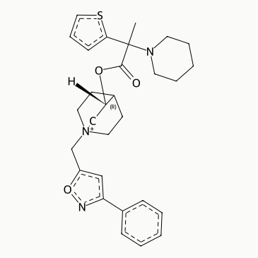 CC(C(=O)O[C@H]1C[N+]2(Cc3cc(-c4ccccc4)no3)CCC1CC2)(c1cccs1)N1CCCCC1